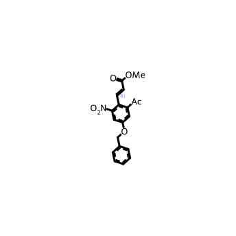 COC(=O)/C=C/c1c(C(C)=O)cc(OCc2ccccc2)cc1[N+](=O)[O-]